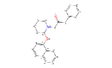 O=C(Cc1ccccc1)CN1CCCCC1Oc1cccc2ccccc12